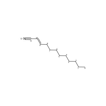 CCCCCCCCCC=CC#N